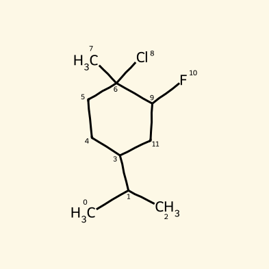 CC(C)C1CCC(C)(Cl)C(F)C1